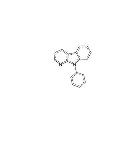 c1ccc(-n2c3ccccc3c3cccnc32)cc1